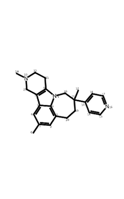 Cc1cc2c3c(c1)c1c(n3CC(C)(c3ccncc3)CC2)CCN(C)C1